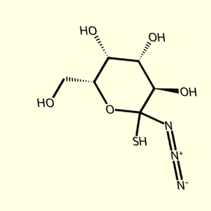 [N-]=[N+]=NC1(S)O[C@H](CO)[C@H](O)[C@H](O)[C@H]1O